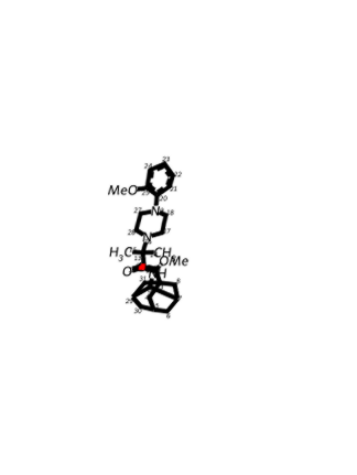 COC(=O)C12CC3CC(C1)C(NC(=O)C(C)(C)N1CCN(c4ccccc4OC)CC1)C(C3)C2